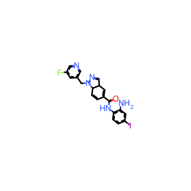 Nc1cc(I)ccc1NC(=O)C1=CC2C=NN(Cc3cncc(F)c3)C2C=C1